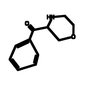 O=C(c1ccccc1)C1COCCN1